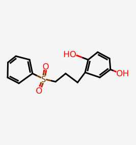 O=S(=O)(CCCc1cc(O)ccc1O)c1ccccc1